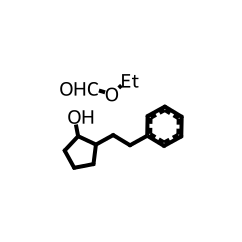 CCOC=O.OC1CCCC1CCc1ccccc1